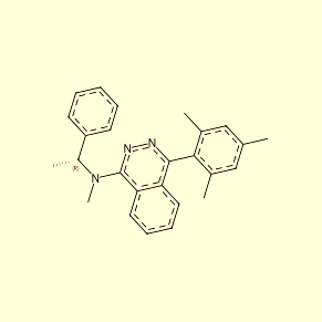 Cc1cc(C)c(-c2nnc(N(C)[C@H](C)c3ccccc3)c3ccccc23)c(C)c1